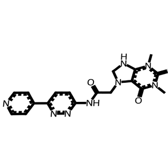 Cn1c2c(c(=O)n(C)c1=O)N(CC(=O)Nc1ccc(-c3ccncc3)nn1)CN2